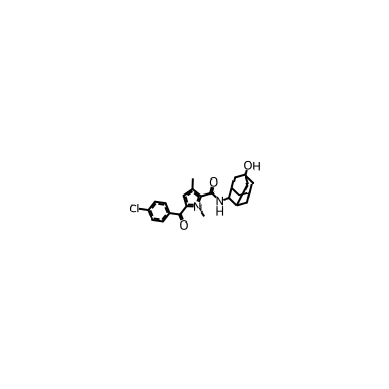 Cc1cc(C(=O)c2ccc(Cl)cc2)n(C)c1C(=O)NC1C2CC3CC1CC(O)(C3)C2